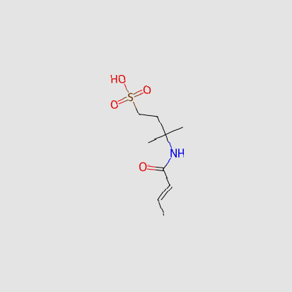 CC=CC(=O)NC(C)(C)CCS(=O)(=O)O